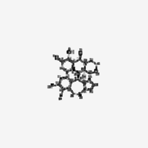 O=C1c2c(O)c(=O)ccn2N([C@@H]2c3ccc(F)c(F)c3CSc3ccsc32)[C@@H]2COCCN12